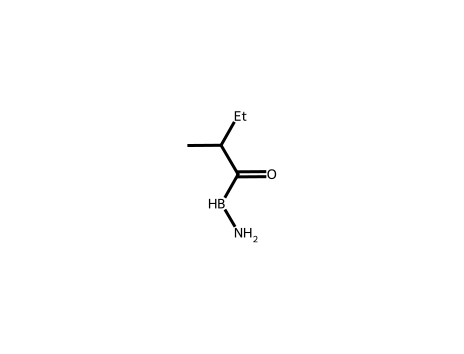 CCC(C)C(=O)BN